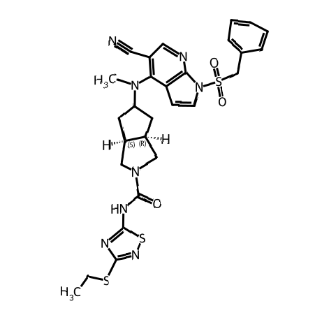 CCSc1nsc(NC(=O)N2C[C@H]3CC(N(C)c4c(C#N)cnc5c4ccn5S(=O)(=O)Cc4ccccc4)C[C@H]3C2)n1